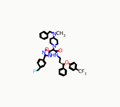 CN(Cc1ccccc1)C1CCN(C(C(=O)NCC[C@@H](Oc2ccc(C(F)(F)F)cc2)c2ccccc2)c2nc(-c3ccc(CF)cc3)no2)CC1